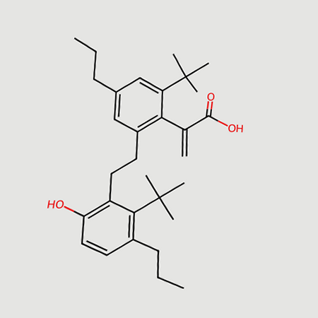 C=C(C(=O)O)c1c(CCc2c(O)ccc(CCC)c2C(C)(C)C)cc(CCC)cc1C(C)(C)C